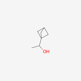 CC(O)C12CC(C1)C2